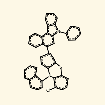 Clc1cccc2c1N(c1cccc3ccccc13)c1ccc(-c3cc4c(c5ccccc35)c3ccccc3n4-c3ccccc3)cc1S2